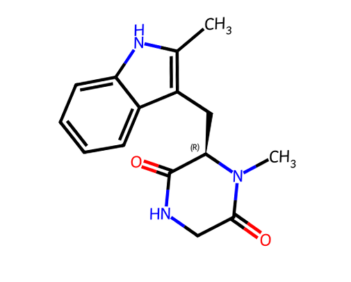 Cc1[nH]c2ccccc2c1C[C@@H]1C(=O)NCC(=O)N1C